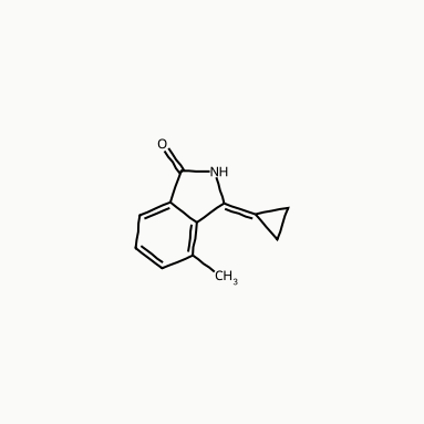 Cc1cccc2c1C(=C1CC1)NC2=O